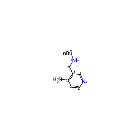 CCCCNCc1cnccc1N